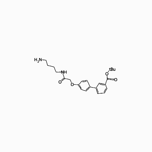 CC(C)(C)OC(=O)c1cccc(-c2ccc(OCC(=O)NCCCCN)cc2)c1